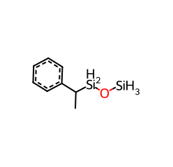 CC([SiH2]O[SiH3])c1ccccc1